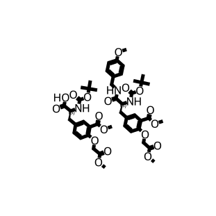 COC(=O)COc1ccc(C[C@H](NC(=O)OC(C)(C)C)C(=O)NCc2ccc(OC)cc2)cc1C(=O)OC.COC(=O)COc1ccc(C[C@H](NC(=O)OC(C)(C)C)C(=O)O)cc1C(=O)OC